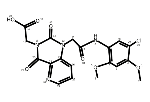 COc1cc(OC)c(NC(=O)Cn2c(=O)n(CC(=O)O)c(=O)c3ncccc32)cc1Cl